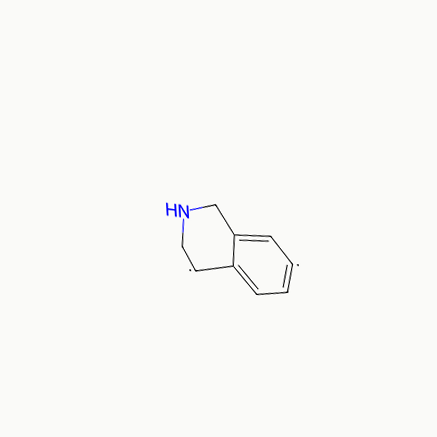 [c]1ccc2c(c1)CNC[CH]2